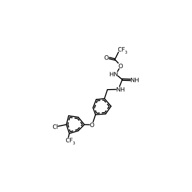 N=C(NCc1ccc(Oc2ccc(Cl)c(C(F)(F)F)c2)cc1)NOC(=O)C(F)(F)F